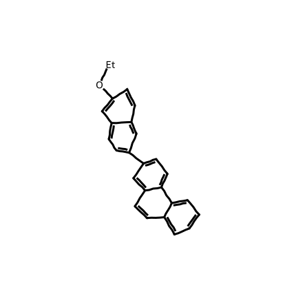 CCOc1ccc2cc(-c3ccc4c(ccc5ccccc54)c3)ccc2c1